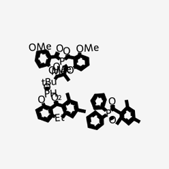 CCc1cccc(O[PH2]=O)c1C(=O)c1c(C)cc(C)cc1C.COc1cccc(OC)c1C(=O)P(=O)(CC(C)CC(C)(C)C)C(=O)c1c(OC)cccc1OC.Cc1cc(C)c(C(=O)P(=O)(c2ccccc2)c2ccccc2)c(C)c1